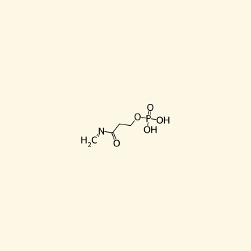 C=NC(=O)CCOP(=O)(O)O